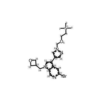 CS(C)(C)CCOCn1cc(-c2cn(CC3COC3)c3cnc(Br)cc23)cn1